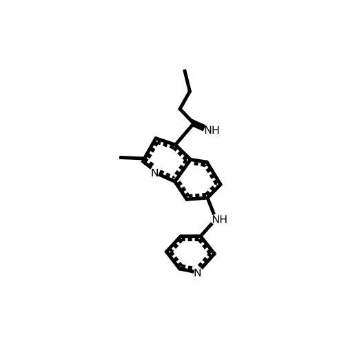 CCCC(=N)c1cc(C)nc2cc(Nc3cccnc3)ccc12